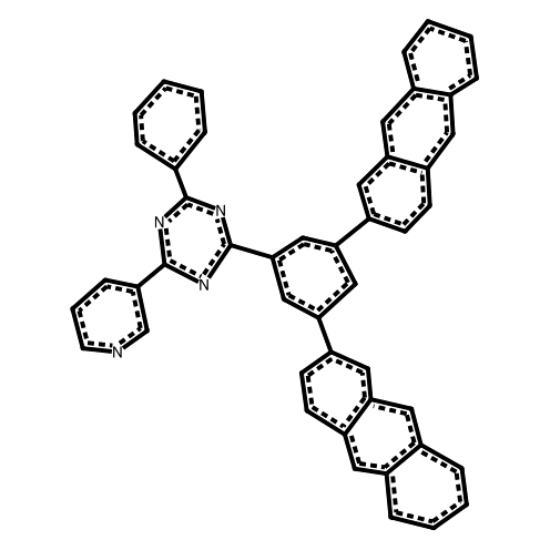 c1ccc(-c2nc(-c3cccnc3)nc(-c3cc(-c4ccc5cc6ccccc6cc5c4)cc(-c4ccc5cc6ccccc6cc5c4)c3)n2)cc1